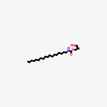 C=C(CO)COC(=O)NCCCCCCCCCCCCCCCCCC